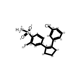 NS(=O)(=O)c1ccc(C2=C(c3cccc(Cl)c3)CCC2)cc1F